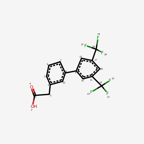 O=C(O)Cc1cccc(-c2cc(C(F)(F)F)cc(C(F)(F)F)c2)c1